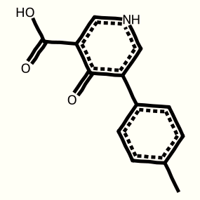 Cc1ccc(-c2c[nH]cc(C(=O)O)c2=O)cc1